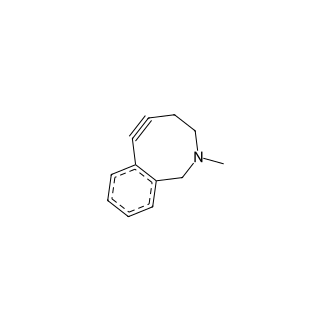 CN1CCC#Cc2ccccc2C1